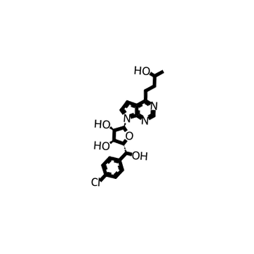 CC(O)CCc1ncnc2c1ccn2[C@@H]1O[C@H](C(O)c2ccc(Cl)cc2)[C@@H](O)[C@H]1O